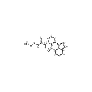 O=C(Nc1cccc2c1C(=O)c1cccc3snc-2c13)OCCO